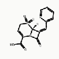 O=C(O)C1=CCS(=O)(=O)[C@@H]2/C(=C\c3ccccn3)C(=O)N12